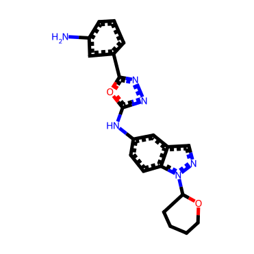 Nc1cccc(-c2nnc(Nc3ccc4c(cnn4C4CCCCO4)c3)o2)c1